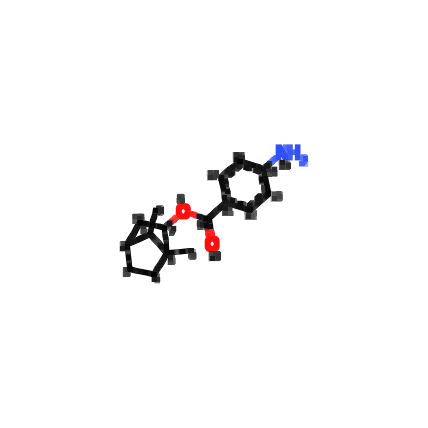 CC1C2CCC1(C)C(OC(=O)c1ccc(N)cc1)C2